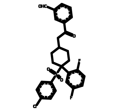 O=Cc1cccc(C(=O)CC2CCC(c3cc(F)ccc3F)(S(=O)(=O)c3ccc(Cl)cc3)CC2)c1